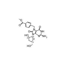 COC(=O)c1ccc(Cn2c(=O)n([C@@H]3O[C@H](CO)C[C@H]3O)c3nc(N)[nH]c(=O)c32)cc1